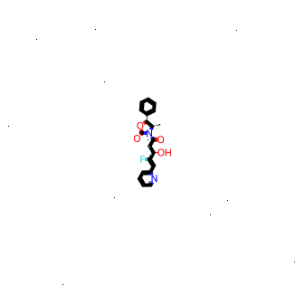 C[C@H]1[C@@H](c2ccccc2)OC(=O)N1C(=O)C[C@H](O)/C(F)=C/c1ccccn1